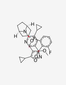 COC(=O)c1cnc(N2[C@@H]3CC[C@H]2C[C@H](OCc2c(-c4c(F)cccc4F)noc2C2CC2)C3)c(C2CC2)c1